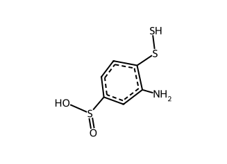 Nc1cc(S(=O)O)ccc1SS